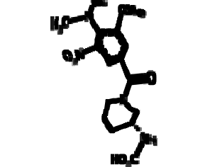 COc1cc(C(=O)N2CCC[C@@H](NC(=O)O)C2)cc([N+](=O)[O-])c1N(C)C(C)(C)C